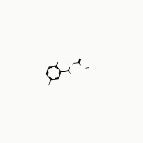 CC(C)(C)OC(=O)NC(C(=O)O)c1cc(Cl)ccc1F